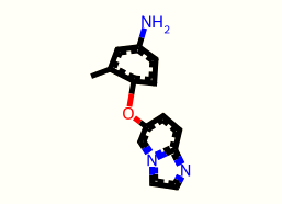 Cc1cc(N)ccc1Oc1ccc2nccn2c1